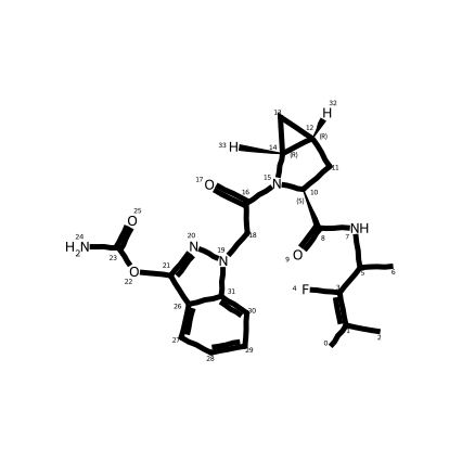 CC(C)=C(F)C(C)NC(=O)[C@@H]1C[C@H]2C[C@H]2N1C(=O)Cn1nc(OC(N)=O)c2ccccc21